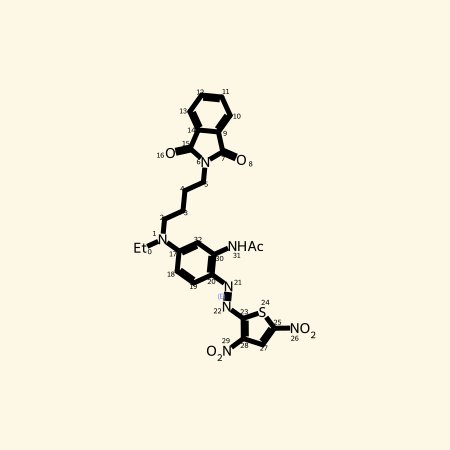 CCN(CCCCN1C(=O)c2ccccc2C1=O)c1ccc(/N=N/c2sc([N+](=O)[O-])cc2[N+](=O)[O-])c(NC(C)=O)c1